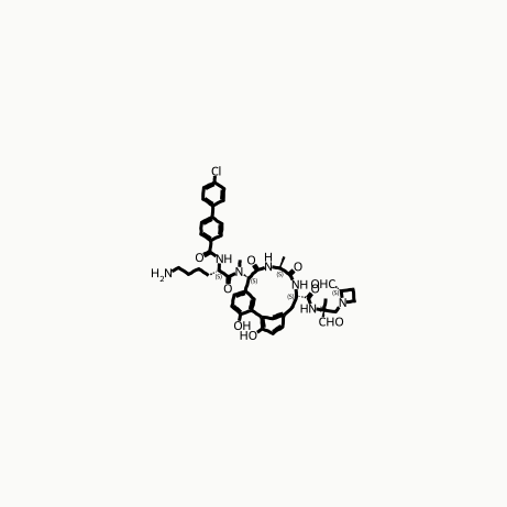 C[C@@H]1NC(=O)[C@@H](N(C)C(=O)[C@H](CCCCN)NC(=O)c2ccc(-c3ccc(Cl)cc3)cc2)c2ccc(O)c(c2)-c2cc(ccc2O)C[C@@H](C(=O)N[C@@](C)(C=O)CN2CC[C@H]2C=O)NC1=O